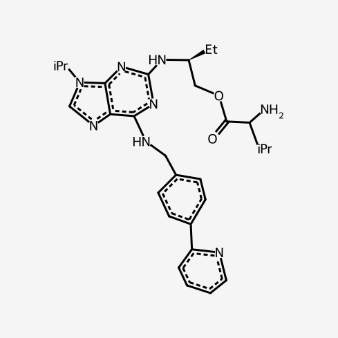 CC[C@@H](COC(=O)C(N)C(C)C)Nc1nc(NCc2ccc(-c3ccccn3)cc2)c2ncn(C(C)C)c2n1